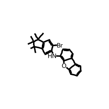 CC1(C)c2cc(Br)c(Nc3cccc4c3oc3ccccc34)cc2C(C)(C)C1(C)C